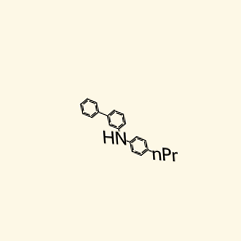 CCCc1ccc(Nc2cccc(-c3ccccc3)c2)cc1